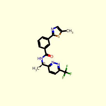 Cc1cnc(-c2cccc(C(=O)N[C@H](C)c3ccc(C(F)(F)F)nn3)c2)s1